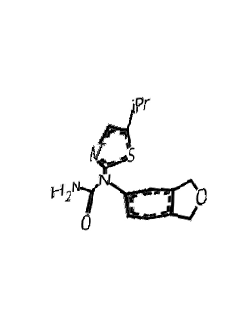 CC(C)c1cnc(N(C(N)=O)c2ccc3c(c2)COC3)s1